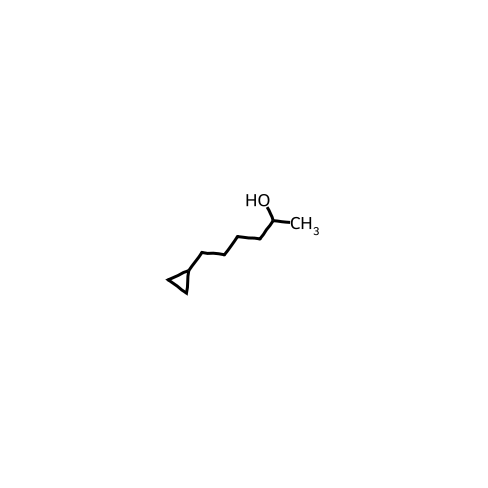 CC(O)CCCCC1CC1